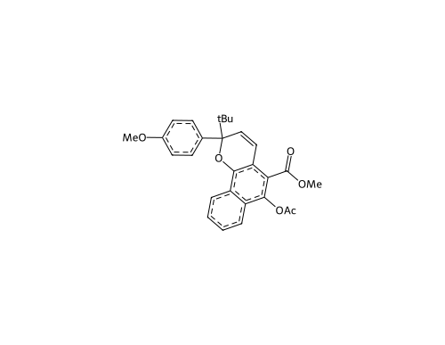 COC(=O)c1c2c(c3ccccc3c1OC(C)=O)OC(c1ccc(OC)cc1)(C(C)(C)C)C=C2